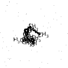 CC(C)OC(=O)OC(C)(C)OC(=O)[C@@H]1N2C(=O)[C@@H](I)[C@H]2SC1(C)C.CCCCCCCC[S+]([O-])C(C)Cc1ccc2c(c1)OCO2